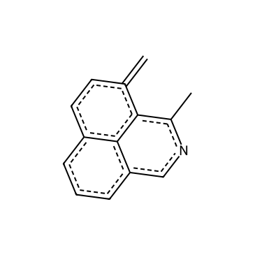 C=c1ccc2cccc3cnc(C)c1c23